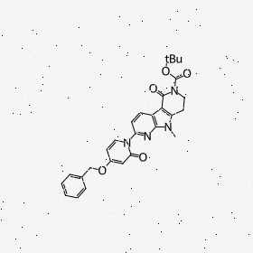 Cn1c2c(c3ccc(-n4ccc(OCc5ccccc5)cc4=O)nc31)C(=O)N(C(=O)OC(C)(C)C)CC2